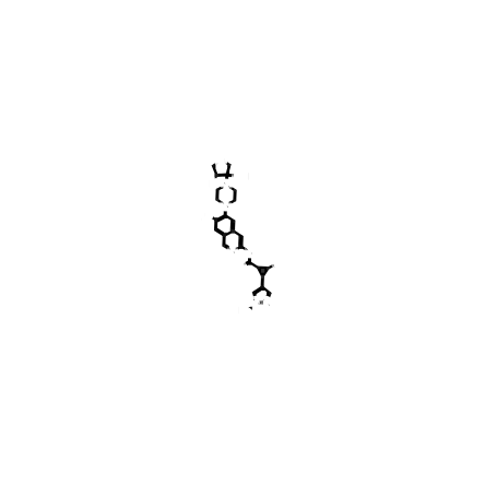 Cc1cc2cnc(NC(=O)C3C(C)C3c3cnn(C)c3)cc2cc1N1CCN(C2(C)COCC2F)CC1